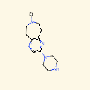 CCN1CCc2ncc(N3CCNCC3)nc2CC1